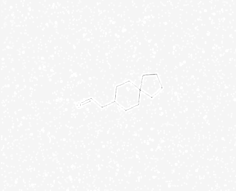 O=CCC1CCC2(CCCC2)CC1